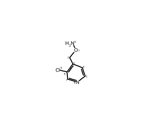 NOCc1ccncc1Cl